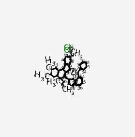 CCCC1=C(CCC)C(C)(CCC)C(C2=CC=CC2)=C2[C]([Zr+2]=[C](c3ccccc3)c3ccccc3)=c3cc(C)ccc3=C12.[Cl-].[Cl-]